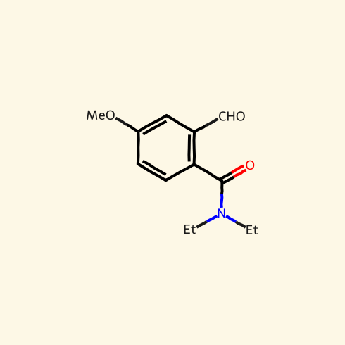 CCN(CC)C(=O)c1ccc(OC)cc1C=O